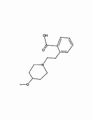 COC1CCN(CCc2ccccc2C(=O)O)CC1